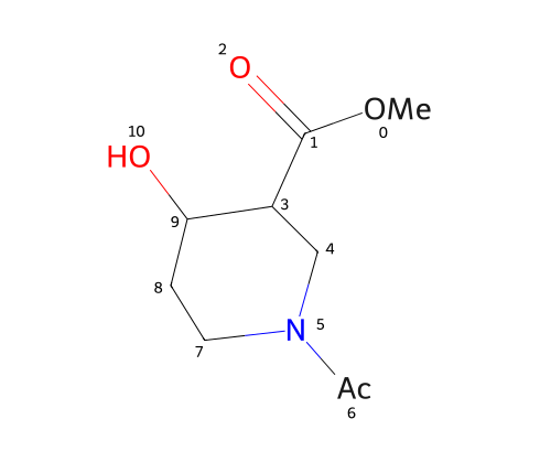 COC(=O)C1CN(C(C)=O)CCC1O